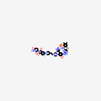 COc1cc(N2CCN(CCC3CCN(c4cc5c(cc4F)C(=O)N(C4CCC(=O)NC4=O)C5=O)CC3)CC2)c(-c2cnn(C)c2)cc1Nc1ncc(Br)c(Nc2ccc(C)c(C)c2P(C)(C)=O)n1